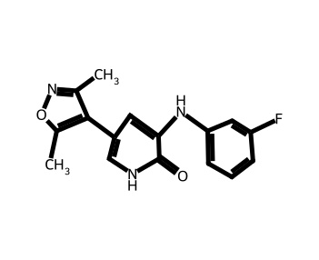 Cc1noc(C)c1-c1c[nH]c(=O)c(Nc2cccc(F)c2)c1